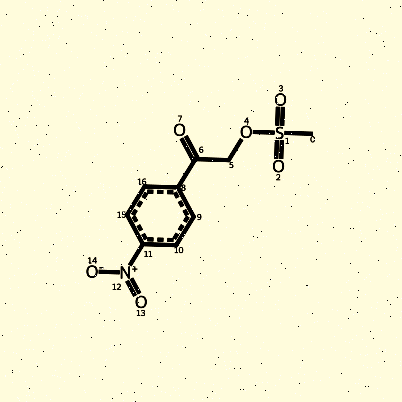 CS(=O)(=O)OCC(=O)c1ccc([N+](=O)[O-])cc1